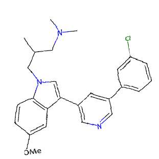 COc1ccc2c(c1)c(-c1cncc(-c3cccc(Cl)c3)c1)cn2CC(C)CN(C)C